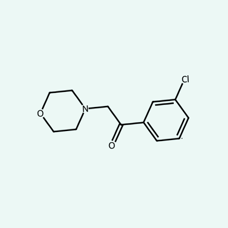 O=C(CN1CCOCC1)c1c[c]cc(Cl)c1